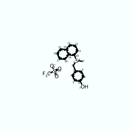 C[S+](Cc1ccc(O)cc1)c1cccc2ccccc12.O=S(=O)([O-])C(F)(F)F